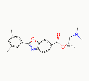 Cc1cc(C)cc(-c2nc3ccc(C(=O)O[C@@H](C)CN(C)C)cc3o2)c1